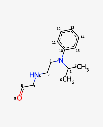 CC(C)N(CCNCC=O)c1ccccc1